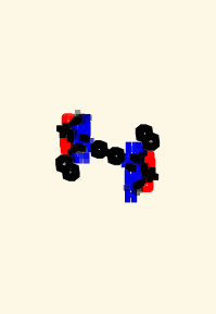 CN[C@@H](C)C(=O)N[C@H](C(=O)N1CCN(c2ccc(-c3ccc(N4CCN(C(=O)[C@@H](NC(=O)[C@H](C)NC)C(C)(C)C)[C@H](C(=O)N[C@@H]5CCCc6ccccc65)C4)cc3)cc2)C[C@H]1C(=O)N[C@@H]1CCCc2ccccc21)C(C)(C)C